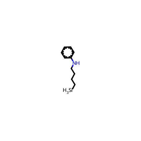 [SiH3]CCCCNc1ccccc1